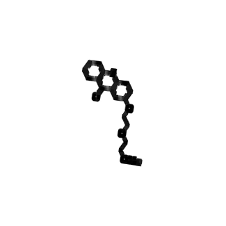 COCCOCCOc1ccc2sc3ccccc3c(=O)c2c1